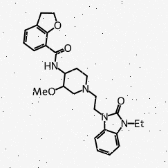 CCn1c(=O)n(CCN2CCC(NC(=O)c3cccc4c3OCC4)C(OC)C2)c2ccccc21